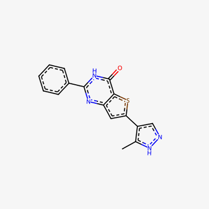 Cc1[nH]ncc1-c1cc2nc(-c3ccccc3)[nH]c(=O)c2s1